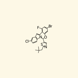 CC(C)(C)Cc1ncc(C2Oc3cc(Br)cc(F)c3-c3cc4cc(Cl)ccc4n32)s1